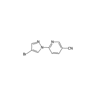 N#Cc1ccc(-n2cc(Br)cn2)nc1